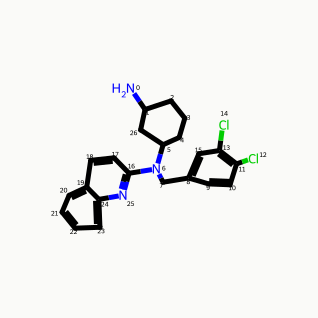 NC1CCCC(N(Cc2ccc(Cl)c(Cl)c2)c2ccc3ccccc3n2)C1